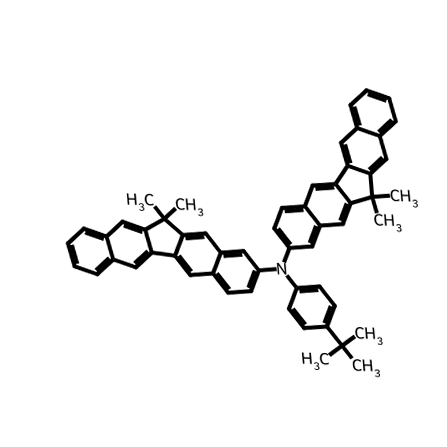 CC(C)(C)c1ccc(N(c2ccc3cc4c(cc3c2)C(C)(C)c2cc3ccccc3cc2-4)c2ccc3cc4c(cc3c2)C(C)(C)c2cc3ccccc3cc2-4)cc1